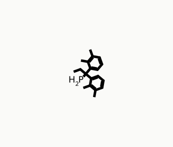 CCC(P)(c1cccc(C)c1C)c1cccc(C)c1C